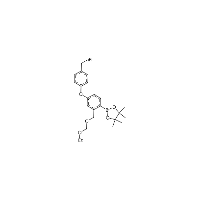 CCOCOCc1cc(Oc2ccc(CC(C)C)cc2)ccc1B1OC(C)(C)C(C)(C)O1